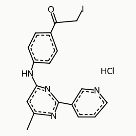 Cc1cc(Nc2ccc(C(=O)CI)cc2)nc(-c2cccnc2)n1.Cl